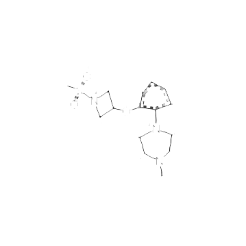 CN1CCN(c2ccccc2OC2CN(S(C)(=O)=O)C2)CC1